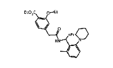 CCCC(NC(=O)Cc1ccc(C(=O)OCC)c(OCC)c1)c1c(C)cccc1N1CCCCC1